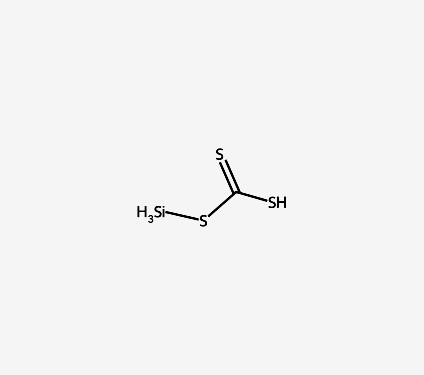 [SiH3]SC(=S)S